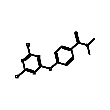 CN(C)C(=O)c1ccc(Oc2nc(Cl)nc(Cl)n2)cc1